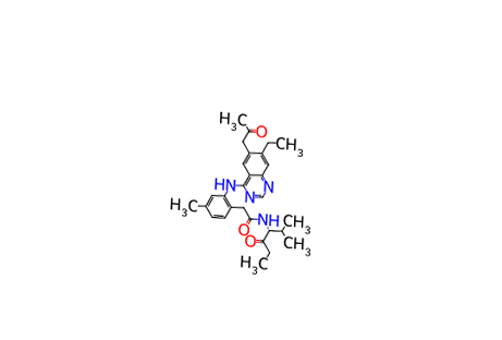 CCC(=O)[C@H](NC(=O)Cc1ccc(C)cc1Nc1ncnc2cc(CC)c(CC(C)=O)cc12)C(C)C